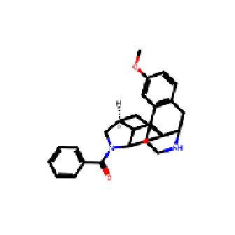 COc1ccc2c(c1)C13CCNC(C2)C12CCC1C3[C@@H](CN1C(=O)c1ccccc1)C2